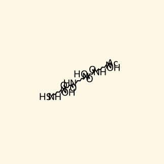 CC(=O)N(O)CCCCCNC(=O)CCC(=O)N(O)CCCCCNC(=O)CCC(=O)N(O)CCCCCNS